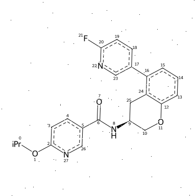 CC(C)Oc1ccc(C(=O)N[C@@H]2COc3cccc(-c4ccc(F)nc4)c3C2)cn1